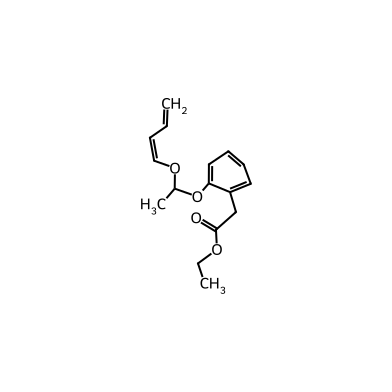 C=C/C=C\OC(C)Oc1ccccc1CC(=O)OCC